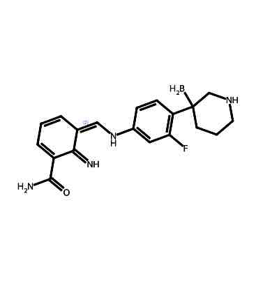 BC1(c2ccc(N/C=C3/C=CC=C(C(N)=O)C3=N)cc2F)CCCNC1